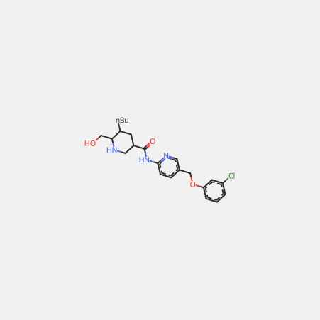 CCCCC1CC(C(=O)Nc2ccc(COc3cccc(Cl)c3)cn2)CNC1CO